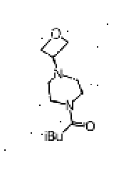 CCC(C)C(=O)N1CCN(C2COC2)CC1